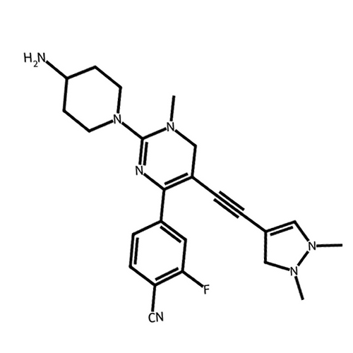 CN1CC(C#CC2=CN(C)N(C)C2)=C(c2ccc(C#N)c(F)c2)N=C1N1CCC(N)CC1